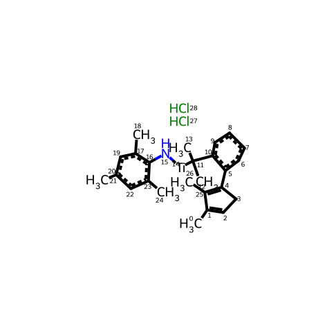 CC1=CCC(c2ccccc2[C](C)(C)[Ti][NH]c2c(C)cc(C)cc2C)=C1C.Cl.Cl